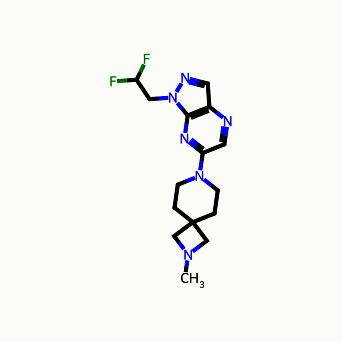 CN1CC2(CCN(c3cnc4cnn(CC(F)F)c4n3)CC2)C1